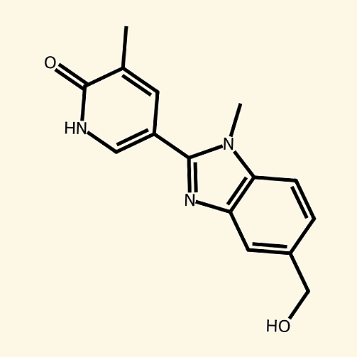 Cc1cc(-c2nc3cc(CO)ccc3n2C)c[nH]c1=O